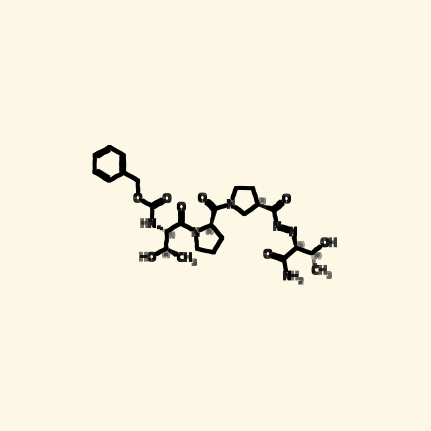 C[C@@H](O)[C@H](N=NC(=O)[C@@H]1CCN(C(=O)[C@H]2CCCN2C(=O)[C@@H](NC(=O)OCc2ccccc2)[C@@H](C)O)C1)C(N)=O